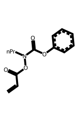 C=CC(=O)ON(CCC)C(=O)Oc1ccccc1